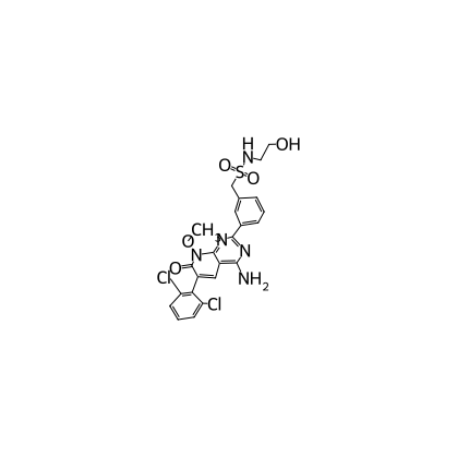 COn1c(=O)c(-c2c(Cl)cccc2Cl)cc2c(N)nc(-c3cccc(CS(=O)(=O)NCCO)c3)nc21